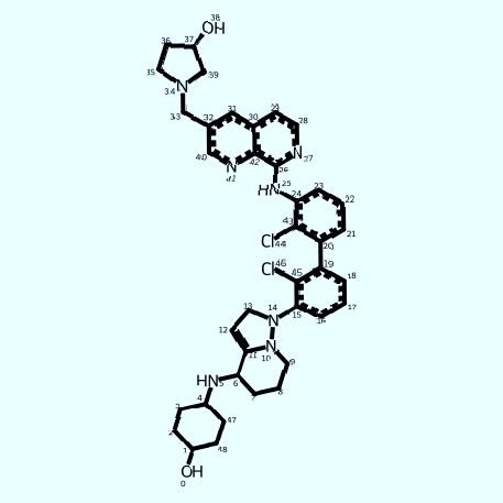 OC1CCC(NC2CCCN3C2=CCN3c2cccc(-c3cccc(Nc4nccc5cc(CN6CC[C@@H](O)C6)cnc45)c3Cl)c2Cl)CC1